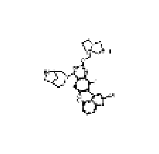 Oc1cc(-c2c(Cl)cc3c(N4CCC5CNC(C5)C4)nc(OC[C@@]45CCCN4C[C@H](F)C5)nc3c2F)c2c(Cl)cccc2c1